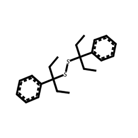 CCC(CC)(SSC(CC)(CC)c1ccccc1)c1ccccc1